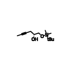 CC#CC[C@@H](O)CO[Si](C)(C)C(C)(C)C